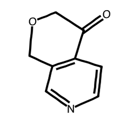 O=C1COCc2cnccc21